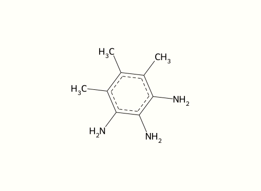 Cc1c(C)c(N)c(N)c(N)c1C